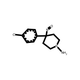 NN1CCC(N=O)(c2ccc(Cl)cc2)CC1